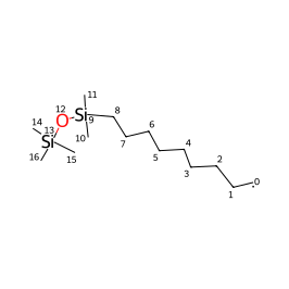 [CH2]CCCCCCCC[Si](C)(C)O[Si](C)(C)C